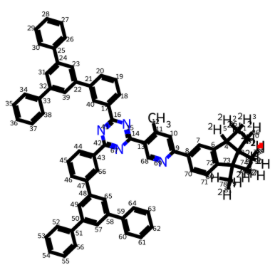 [2H]C([2H])([2H])C1([2H])c2cc(-c3cc(C)c(-c4nc(-c5cccc(-c6cc(-c7ccccc7)cc(-c7ccccc7)c6)c5)nc(-c5cccc(-c6cc(-c7ccccc7)cc(-c7ccccc7)c6)c5)n4)cn3)ccc2C(C([2H])([2H])[2H])(C([2H])([2H])[2H])C1(C([2H])([2H])[2H])C([2H])([2H])[2H]